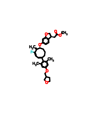 C=C1/C(F)=C\C=C(\c2c(C)cc(OCC3CCOC3)cc2C)CCC[C@H]1Oc1ccc2c(c1)OC[C@H]2CC(=O)OC